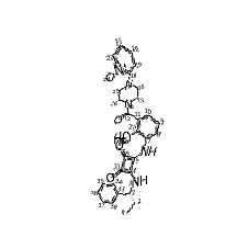 CC[C@@H](Nc1c(Nc2cccc(C(=O)N3CCN(c4cccc[n+]4[O-])CC3)c2O)c(=O)c1=O)c1ccccc1